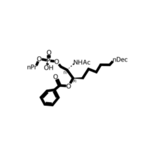 CCCCCCCCCCCCCCC[C@@H](OC(=O)c1ccccc1)[C@H](COP(=O)(O)OCCC)NC(C)=O